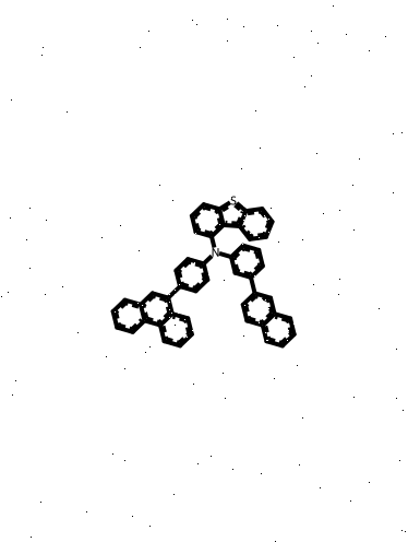 c1cc(-c2ccc3ccccc3c2)cc(N(c2ccc(-c3cc4ccccc4c4ccccc34)cc2)c2cccc3sc4ccccc4c23)c1